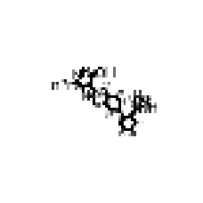 CCCc1nnc(O)c2c1nc(C)n2Cc1ccc(-c2ccccc2-c2nnn[nH]2)cc1